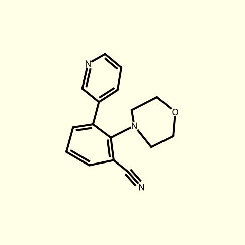 N#Cc1cccc(-c2cccnc2)c1N1CCOCC1